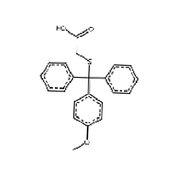 COc1ccc(C(SCC(=O)O)(c2ccccc2)c2ccccc2)cc1